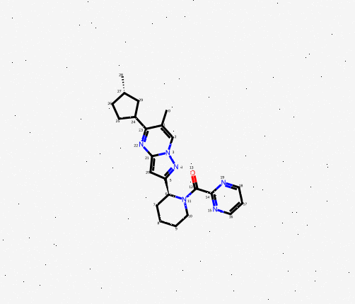 Cc1cn2nc([C@@H]3CCCCN3C(=O)c3ncccn3)cc2nc1C1CC[C@H](C)C1